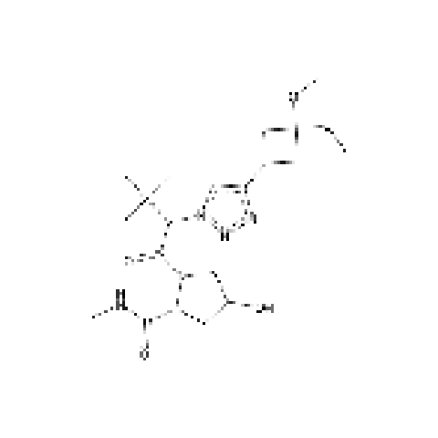 CNC(=O)C1CC(O)CN1C(=O)[C@@H](n1cc(C2CC(OC)(OC)C2)nn1)C(C)(C)C